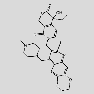 CCC1(O)C(=O)OCc2c1ccn(Cc1c(I)nc3cc4c(cc3c1CN1CCN(C)CC1)OCCO4)c2=O